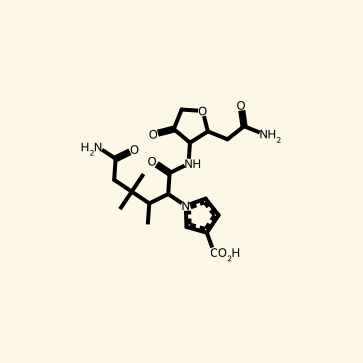 CC(C(C(=O)NC1C(=O)COC1CC(N)=O)n1ccc(C(=O)O)c1)C(C)(C)CC(N)=O